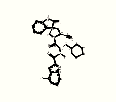 CN(C(=O)c1cc2c(F)cccc2[nH]1)[C@@H](CC1CCCCC1)C(=O)N1C[C@]2(C[C@H]1C#N)C(=O)Nc1ccccc12